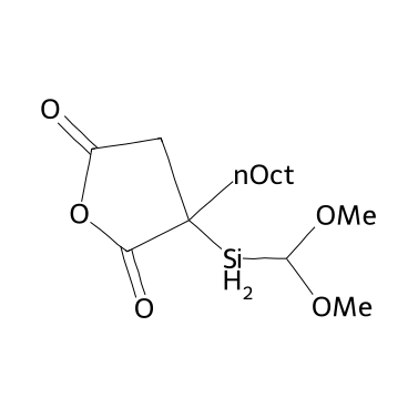 CCCCCCCCC1([SiH2]C(OC)OC)CC(=O)OC1=O